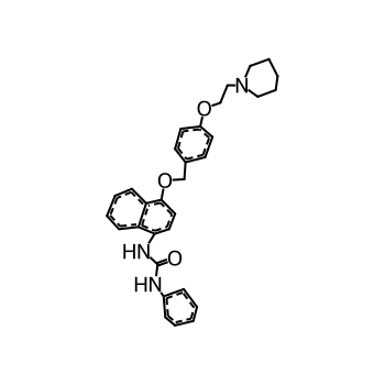 O=C(Nc1ccccc1)Nc1ccc(OCc2ccc(OCCN3CCCCC3)cc2)c2ccccc12